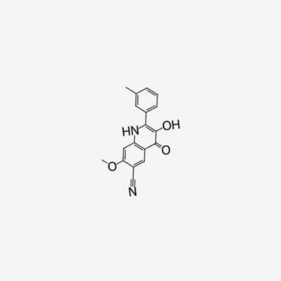 COc1cc2[nH]c(-c3cccc(C)c3)c(O)c(=O)c2cc1C#N